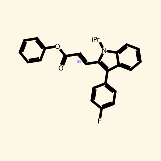 CC(C)n1c(/C=C/C(=O)Oc2ccccc2)c(-c2ccc(F)cc2)c2ccccc21